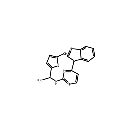 Cc1ccc(C(C)Nc2nccc(-n3cnc4ccccc43)n2)s1